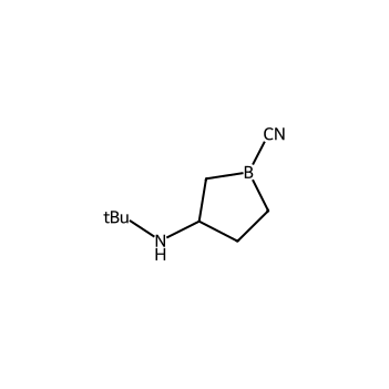 CC(C)(C)NC1CCB(C#N)C1